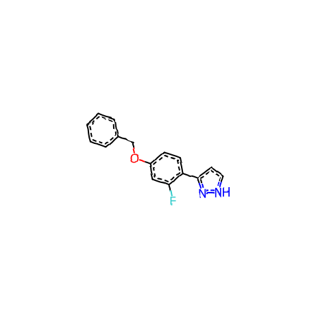 Fc1cc(OCc2ccccc2)ccc1-c1cc[nH]n1